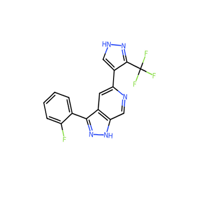 Fc1ccccc1-c1n[nH]c2cnc(-c3c[nH]nc3C(F)(F)F)cc12